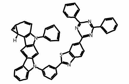 C1=Cc2c(c3cc4c5ccccc5n(-c5cccc(-c6nc7ccc(-c8nc(-c9ccccc9)nc(-c9ccccc9)n8)cc7s6)c5)c4cc3n2-c2ccccc2)[C@@H]2C=C12